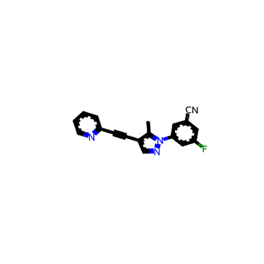 Cc1c(C#Cc2ccccn2)cnn1-c1cc(F)cc(C#N)c1